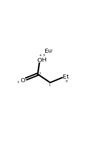 CCCC(=O)O.[Eu]